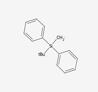 [CH2][Si](c1ccccc1)(c1ccccc1)C(C)(C)C